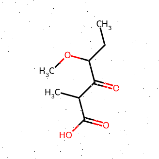 CCC(OC)C(=O)C(C)C(=O)O